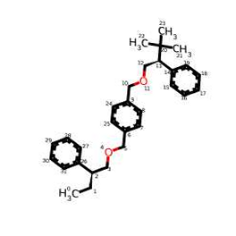 CC[C@H](COCc1ccc(COC[C@H](c2ccccc2)C(C)(C)C)cc1)c1ccccc1